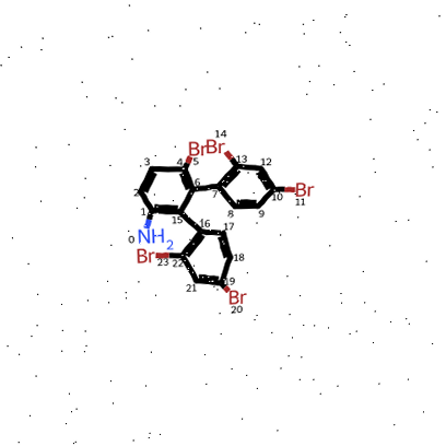 Nc1ccc(Br)c(-c2ccc(Br)cc2Br)c1-c1ccc(Br)cc1Br